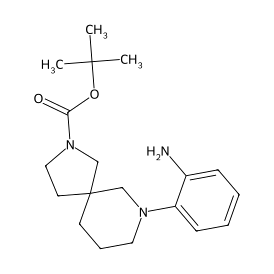 CC(C)(C)OC(=O)N1CCC2(CCCN(c3ccccc3N)C2)C1